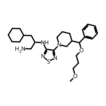 COCCCOC(c1ccccc1)C1CCCN(c2nsnc2NC(CN)CC2CCCCC2)C1